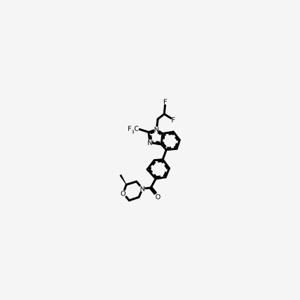 C[C@H]1CN(C(=O)c2ccc(-c3cccc4c3nc(C(F)(F)F)n4CC(F)F)cc2)CCO1